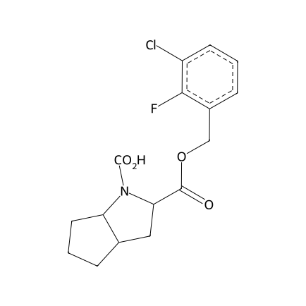 O=C(OCc1cccc(Cl)c1F)C1CC2CCCC2N1C(=O)O